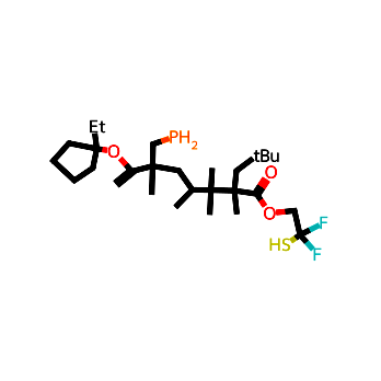 C=C(OC1(CC)CCCC1)C(C)(CP)CC(C)C(C)(C)C(C)(CC(C)(C)C)C(=O)OCC(F)(F)S